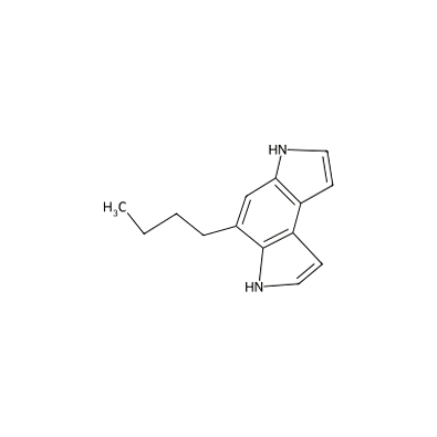 CCCCc1cc2[nH]ccc2c2cc[nH]c12